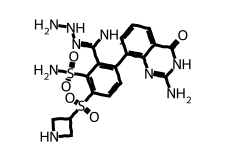 NN/N=C(\N)c1c(-c2cccc3c(=O)[nH]c(N)nc23)ccc(S(=O)(=O)C2CNC2)c1S(N)(=O)=O